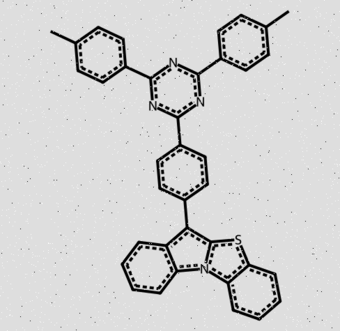 Cc1ccc(-c2nc(-c3ccc(C)cc3)nc(-c3ccc(-c4c5ccccc5n5c4sc4ccccc45)cc3)n2)cc1